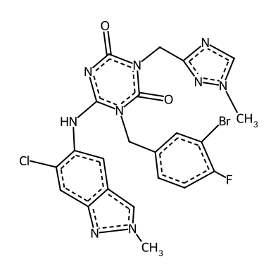 Cn1cnc(Cn2c(=O)nc(Nc3cc4cn(C)nc4cc3Cl)n(Cc3ccc(F)c(Br)c3)c2=O)n1